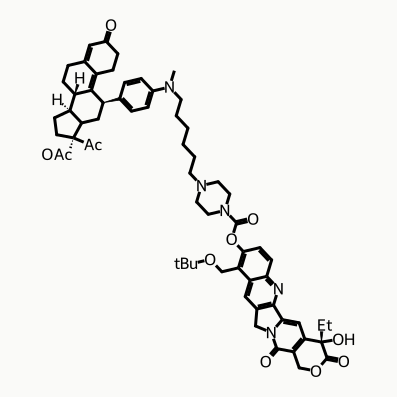 CC[C@@]1(O)C(=O)OCc2c1cc1n(c2=O)Cc2cc3c(COC(C)(C)C)c(OC(=O)N4CCN(CCCCCCN(C)c5ccc([C@H]6CC7[C@@H](CC[C@]7(OC(C)=O)C(C)=O)[C@@H]7CCC8=CC(=O)CCC8=C76)cc5)CC4)ccc3nc2-1